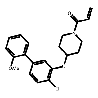 C=CC(=O)N1CCC(Oc2cc(-c3ccccc3OC)ccc2Cl)CC1